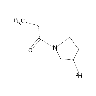 [2H]C1CCN(C(=O)CC)C1